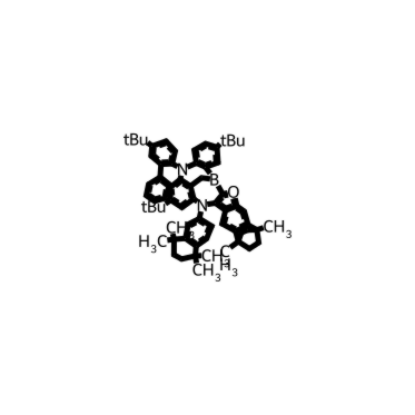 CC(C)(C)c1ccc2c(c1)B1Cc3c(cc(C(C)(C)C)cc3N(c3ccc4c(c3)C(C)(C)CCC4(C)C)c3c1oc1cc4c(cc31)C1(C)CCC4(C)CC1)N2c1ccc(C(C)(C)C)cc1-c1ccccc1